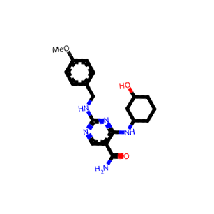 COc1ccc(CNc2ncc(C(N)=O)c(NC3CCCC(O)C3)n2)cc1